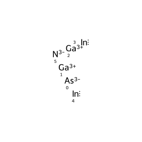 [As-3].[Ga+3].[Ga+3].[In].[In].[N-3]